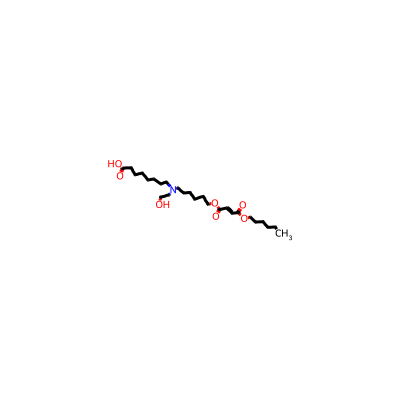 CCCCCCOC(=O)/C=C/C(=O)OCCCCCCN(CCO)CCCCCCCC(=O)O